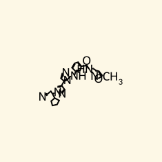 Cc1cc(CNC(=O)c2cccc(Nc3nccc(-c4cnn(C(CC#N)C5CCCC5)c4)n3)c2)no1